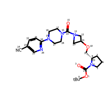 CC(C)(C)OC(=O)N1CCC[C@H]1COC1CN(C(=O)N2CCN(c3ccc(C#N)cn3)CC2)C1